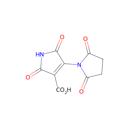 O=C(O)C1=C(N2C(=O)CCC2=O)C(=O)NC1=O